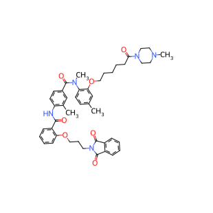 Cc1ccc(N(C)C(=O)c2ccc(NC(=O)c3ccccc3OCCCN3C(=O)c4ccccc4C3=O)c(C)c2)c(OCCCCCC(=O)N2CCN(C)CC2)c1